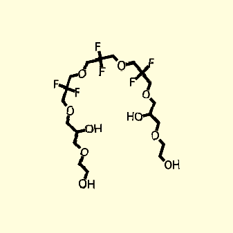 OCCOCC(O)COCC(F)(F)COCC(F)(F)COCC(F)(F)COCC(O)COCCO